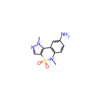 CN1c2ccc(N)cc2-c2c(cnn2C)S1(=O)=O